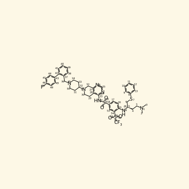 CN(C)CC[C@H](CSc1ccccc1)Nc1ccc(S(=O)(=O)Nc2ncnc3c2CCN(C2CCN(Cc4ccccc4-c4ccc(F)cc4)CC2)C3)cc1S(=O)(=O)C(F)(F)F